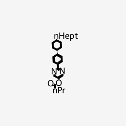 CCCCCCC[C@H]1CC[C@H](c2ccc(-c3ncc(OC(=O)CCC)cn3)cc2)CC1